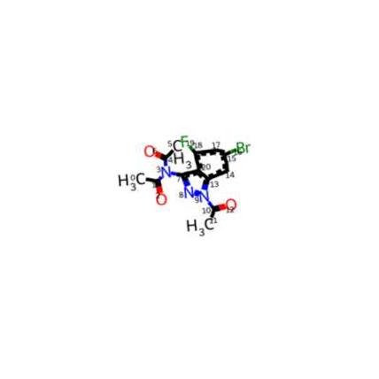 CC(=O)N(C(C)=O)c1nn(C(C)=O)c2cc(Br)cc(F)c12